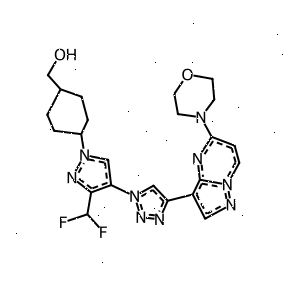 OCC1CCC(n2cc(-n3cc(-c4cnn5ccc(N6CCOCC6)nc45)nn3)c(C(F)F)n2)CC1